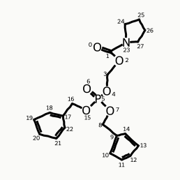 O=C(OCOP(=O)(OCc1ccccc1)OCc1ccccc1)N1CCCC1